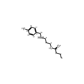 CCCC(=O)OCCCNCc1ccc(F)cc1